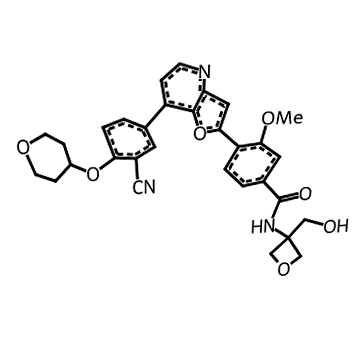 COc1cc(C(=O)NC2(CO)COC2)ccc1-c1cc2nccc(-c3ccc(OC4CCOCC4)c(C#N)c3)c2o1